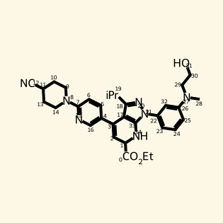 CCOC(=O)C1C=C(c2ccc(N3CCC(C#N)CC3)nc2)c2c(C(C)C)nn(-c3cccc(N(C)CCO)c3)c2N1